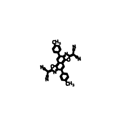 Cc1ccc(-c2cc3c(cc(-c4ccc(C)cc4)c4nc(=C(C#N)C#N)oc43)c3oc(=C(C#N)C#N)nc23)cc1